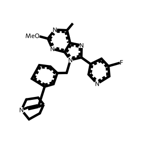 COc1nc(C)c2nc(-c3cncc(F)c3)n(Cc3cccc(C4=CN5CCC4CC5)c3)c2n1